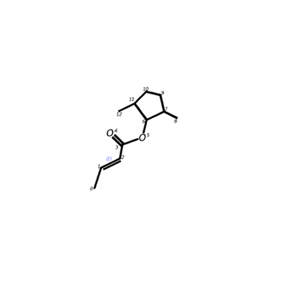 C/C=C/C(=O)OC1C(C)CCC1C